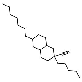 CCCCCCCC1CCC2CC(C#N)(CCCCC)CCC2C1